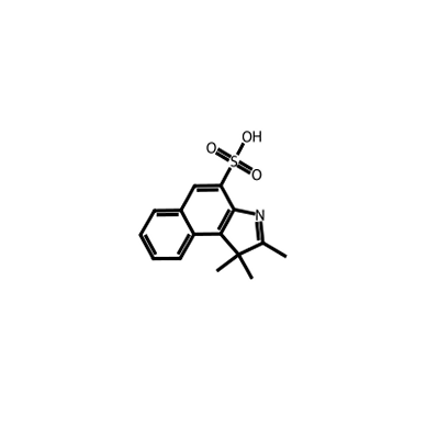 CC1=Nc2c(S(=O)(=O)O)cc3ccccc3c2C1(C)C